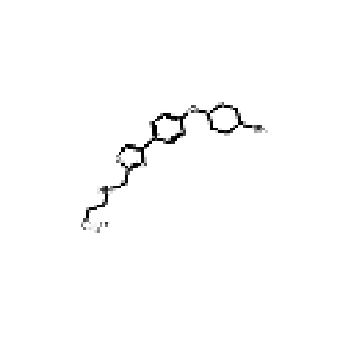 CCOC(=O)CCNCc1nc(-c2ccc(OC3CCC(C(C)(C)C)CC3)cc2)cs1